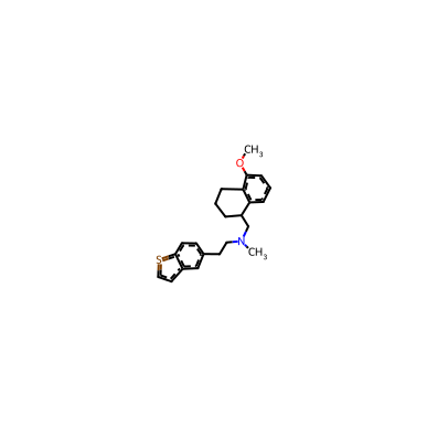 COc1cccc2c1CCCC2CN(C)CCc1ccc2sccc2c1